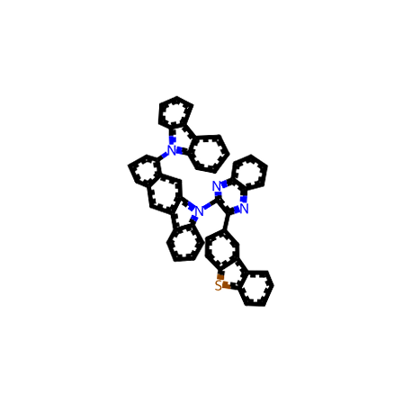 c1cc(-n2c3ccccc3c3ccccc32)c2cc3c(cc2c1)c1ccccc1n3-c1nc2ccccc2nc1-c1ccc2sc3ccccc3c2c1